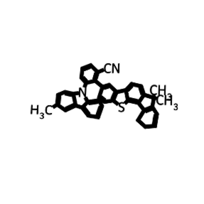 Cc1ccc2c(c1)c1ccccc1n2-c1cccc(C#N)c1-c1ccc2sc3c4c(ccc3c2c1)C(C)(C)C1=C4CCC=C1